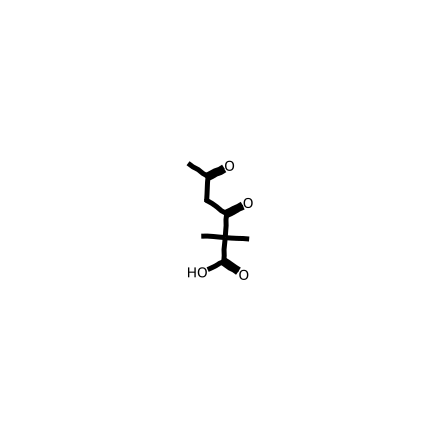 CC(=O)CC(=O)C(C)(C)C(=O)O